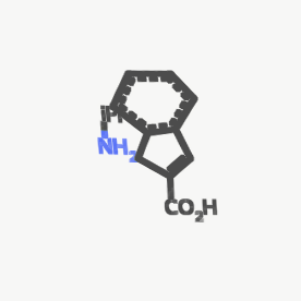 CC(C)N.O=C(O)C1=Cc2ccccc2C1